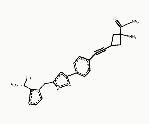 C[C@H](O)c1nccn1Cc1cc(-c2ccc(C#CC3CC(N)(C(N)=O)C3)cc2)on1